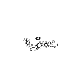 CCC(Oc1cccc(CN2CCc3ccc(C(=O)CCC4CCN(C(C)=O)CC4)cc3CC2)c1)C(=O)O.Cl